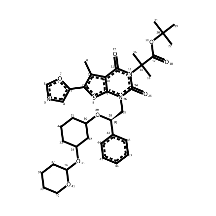 Cc1c(-c2cnco2)sc2c1c(=O)n(C(C)(C)C(=O)OC(C)(C)C)c(=O)n2C[C@H](OC1CCCC(OC2CCCCO2)C1)c1ccccc1